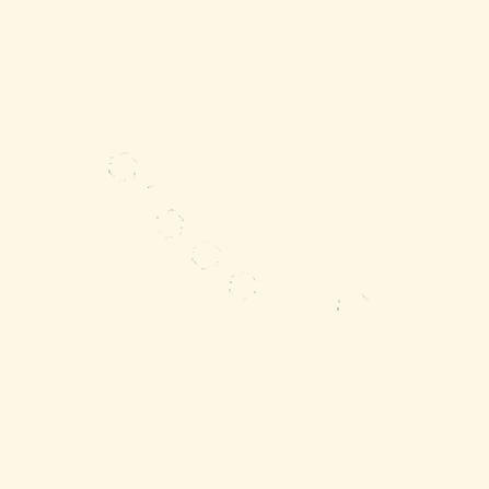 CC(CC(=O)OC1CCCCC1)C(=O)OCCCOc1ccc(-c2ccc(-c3ccc(OC(=O)c4ccc(O)cc4)cc3)cc2)cc1